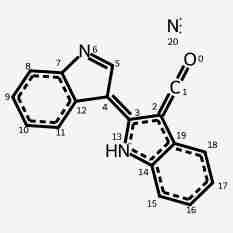 O=C=c1c(=C2C=Nc3ccccc32)[nH]c2ccccc12.[N]